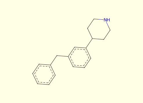 c1ccc(Cc2cccc(C3CCNCC3)c2)cc1